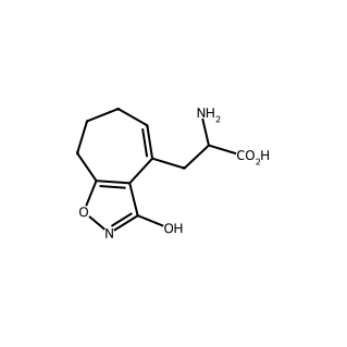 NC(CC1=CCCCc2onc(O)c21)C(=O)O